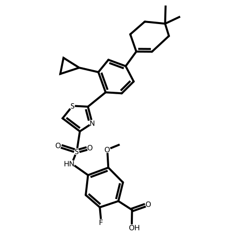 COc1cc(C(=O)O)c(F)cc1NS(=O)(=O)c1csc(-c2ccc(C3=CCC(C)(C)CC3)cc2C2CC2)n1